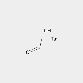 CC=O.[LiH].[Ta]